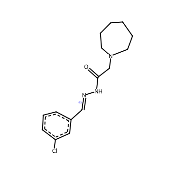 O=C(CN1CCCCCC1)N/N=C/c1cccc(Cl)c1